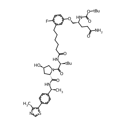 Cc1ncsc1-c1ccc([C@H](C)NC(=O)[C@@H]2C[C@@H](O)CN2C(=O)[C@@H](NC(=O)CCCCCc2cc(OC[C@H](CCC(N)=O)NC(=O)OC(C)(C)C)ccc2F)C(C)(C)C)cc1